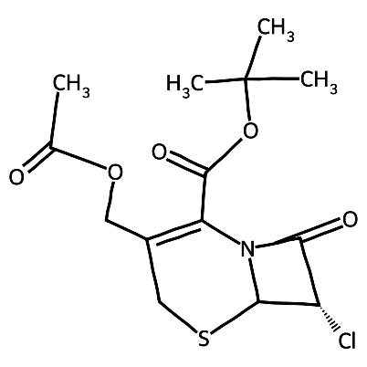 CC(=O)OCC1=C(C(=O)OC(C)(C)C)N2C(=O)[C@H](Cl)C2SC1